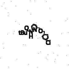 CC(C)(C)C(=O)Nc1cccc(COCc2ccc(Cl)cc2)n1